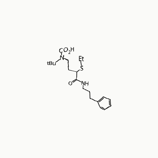 CCSC(CCN(C(=O)O)C(C)(C)C)C(=O)NCCCc1ccccc1